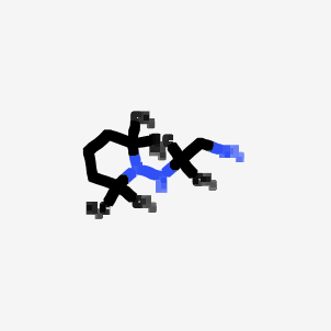 CC(C)(CN)NN1C(C)(C)CCCC1(C)C